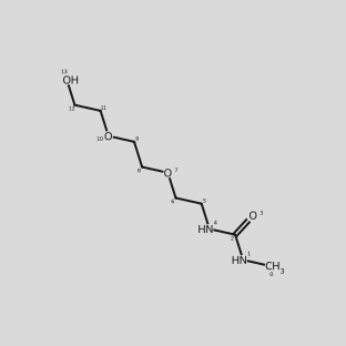 CNC(=O)NCCOCCOCCO